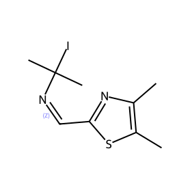 Cc1nc(/C=N\C(C)(C)I)sc1C